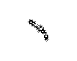 O=C1c2ccc(CN3CCC4(CC3)COC4)cc2OCCN1CC(O)CN1CCc2ccccc2C1